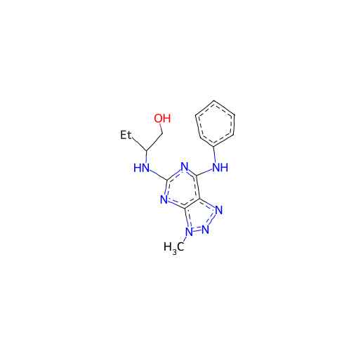 CCC(CO)Nc1nc(Nc2ccccc2)c2nnn(C)c2n1